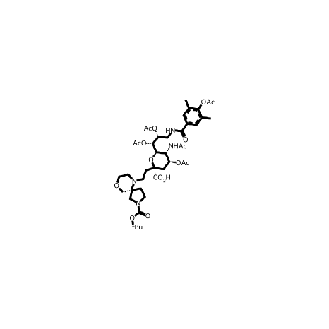 CC(=O)N[C@H]1[C@H]([C@H](OC(C)=O)[C@@H](CNC(=O)c2cc(C)c(OC(C)=O)c(C)c2)OC(C)=O)O[C@@](CCN2CCOC[C@@]23CCN(C(=O)OC(C)(C)C)C3)(C(=O)O)C[C@@H]1OC(C)=O